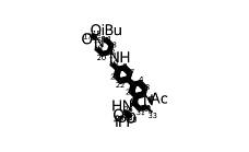 CC(=O)N1c2ccc(-c3ccc(CNC4CCN(C(=O)OCC(C)C)CC4)cc3)cc2[C@H](NC(=O)OC(C)C)C[C@@H]1C